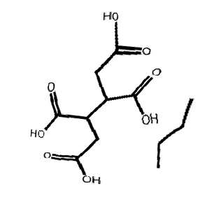 CCCC.O=C(O)CC(C(=O)O)C(CC(=O)O)C(=O)O